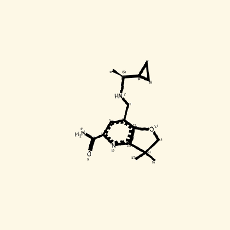 C[C@H](NCc1cc(C(N)=O)nc2c1OCC2(C)C)C1CC1